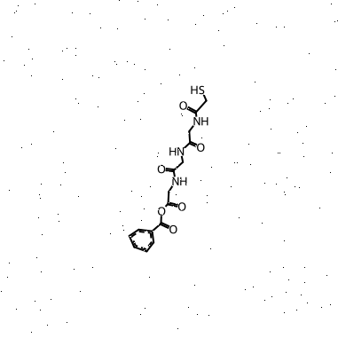 O=C(CS)NCC(=O)NCC(=O)NCC(=O)OC(=O)c1ccccc1